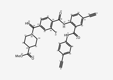 C#Cc1ccc(NC(=O)c2cc(C#C)ccc2NC(=O)c2ccc(C(=N)N3CCC(C(=O)OC)CC3)cc2F)cc1